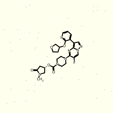 CN1C[C@@H](OC(=O)N2CCN(c3nc4c(-c5cccnc5OC5CCOC5)cnn4cc3F)CC2)CC1=O